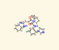 C[C@@H]1CCC[N+]1(C(=O)CCc1nc2ccccc2[nH]1)C(=O)Nc1cc(F)ccc1-n1ccnc1